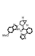 COc1ccc2nc([C@@H]3C[C@H]4C[C@H]4N3C(=O)c3ccccc3-n3nccn3)[nH]c2c1